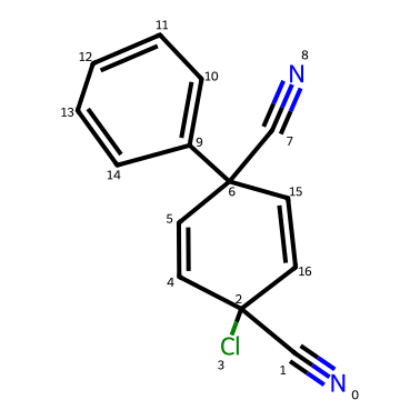 N#CC1(Cl)C=CC(C#N)(c2ccccc2)C=C1